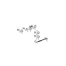 O.O.O.O.O.O.[Br][Gd]